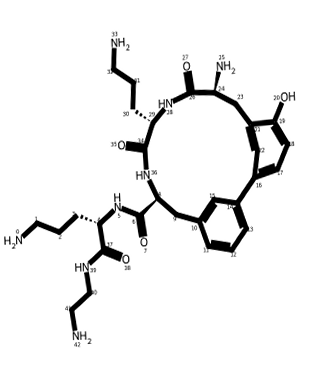 NCCC[C@H](NC(=O)[C@@H]1Cc2cccc(c2)-c2ccc(O)c(c2)C[C@H](N)C(=O)N[C@@H](CCCN)C(=O)N1)C(=O)NCCN